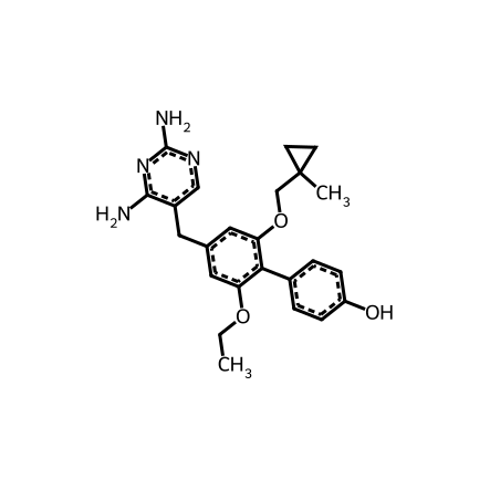 CCOc1cc(Cc2cnc(N)nc2N)cc(OCC2(C)CC2)c1-c1ccc(O)cc1